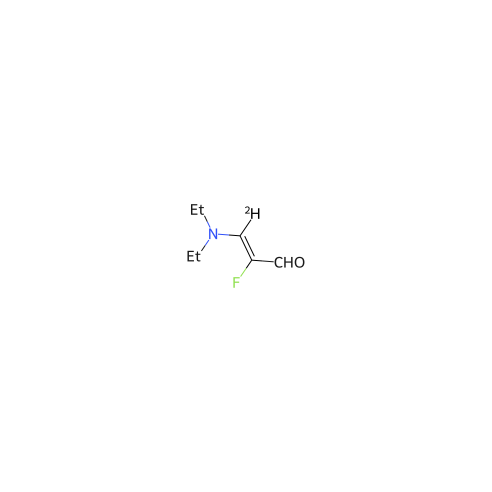 [2H]C(=C(F)C=O)N(CC)CC